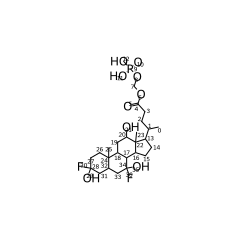 CC(CCC(=O)OCOP(=O)(O)O)C1CCC2C3C(CC(O)C12C)C1(C)CCC(O)(F)CC1CC3(O)F